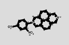 O=[N+]([O-])c1ccc(-[n+]2cc3ccc4cncc5ccc(c2)c3c45)c([N+](=O)[O-])c1